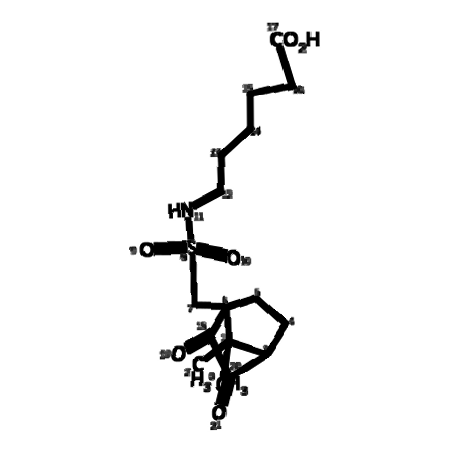 CC1(C)C2CCC1(CS(=O)(=O)NCCCCCC(=O)O)C(=O)C2=O